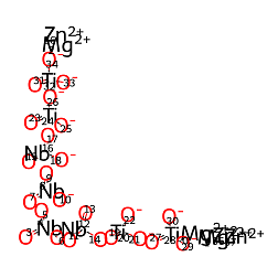 [Mg+2].[Mg+2].[Mg+2].[O]=[Nb](=[O])[O-].[O]=[Nb](=[O])[O-].[O]=[Nb](=[O])[O-].[O]=[Nb](=[O])[O-].[O]=[Ti]([O-])[O-].[O]=[Ti]([O-])[O-].[O]=[Ti]([O-])[O-].[O]=[Ti]([O-])[O-].[Zn+2].[Zn+2].[Zn+2]